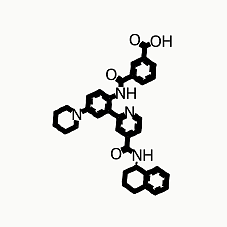 O=C(O)c1cccc(C(=O)Nc2ccc(N3CCCCC3)cc2-c2cc(C(=O)N[C@H]3CCCc4ccccc43)ccn2)c1